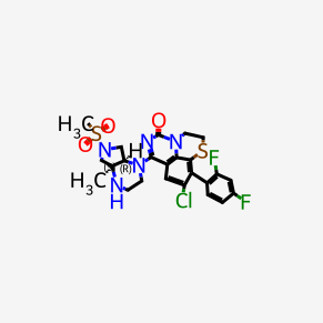 C[C@]12CN(S(C)(=O)=O)C[C@H]1N(c1nc(=O)n3c4c(c(-c5ccc(F)cc5F)c(Cl)cc14)SCC3)CCN2